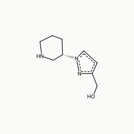 OCc1ccn([C@H]2CCCNC2)n1